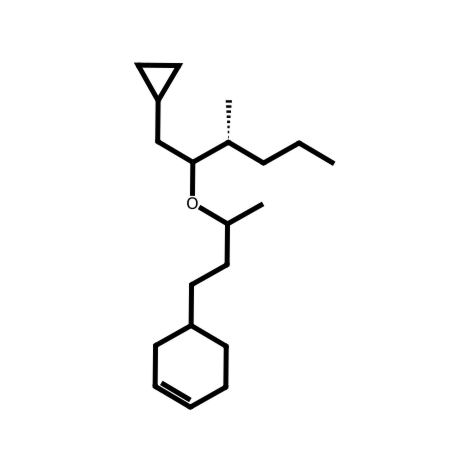 CCC[C@@H](C)C(CC1CC1)OC(C)CCC1CC=CCC1